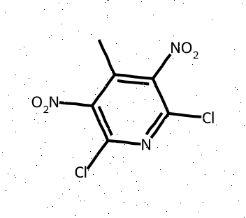 Cc1c([N+](=O)[O-])c(Cl)nc(Cl)c1[N+](=O)[O-]